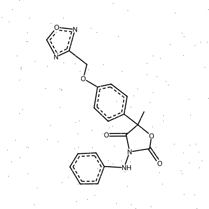 CC1(c2ccc(OCc3ncon3)cc2)OC(=O)N(Nc2ccccc2)C1=O